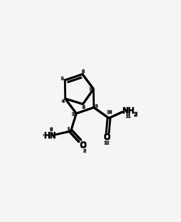 [NH]C(=O)C1C2C=CC(C2)C1C(N)=O